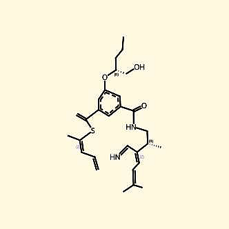 C=C/C=C(/C)SC(=C)c1cc(O[C@@H](CO)CCC)cc(C(=O)NC[C@H](C)/C(C=N)=C/C=C(C)C)c1